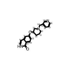 O=c1[nH]ccc2cc(OC3CCCN(Cc4cccnc4)C3)ccc12